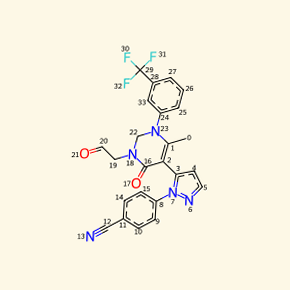 CC1=C(c2ccnn2-c2ccc(C#N)cc2)C(=O)N(CC=O)CN1c1cccc(C(F)(F)F)c1